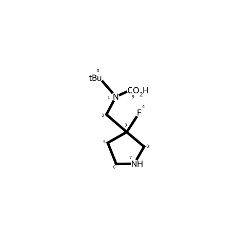 CC(C)(C)N(CC1(F)CCNC1)C(=O)O